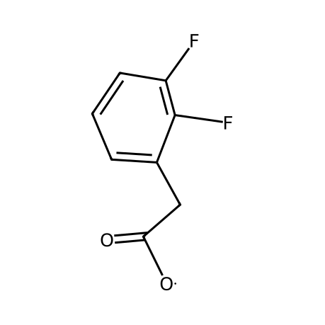 [O]C(=O)Cc1cccc(F)c1F